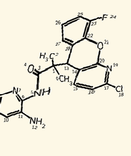 CC(C)(C(=O)Nc1ncccc1N)C1c2ccc(Cl)nc2Oc2c(F)cccc21